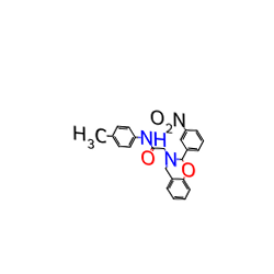 Cc1ccc(NC(=O)CN2Cc3ccccc3OC2c2cccc([N+](=O)[O-])c2)cc1